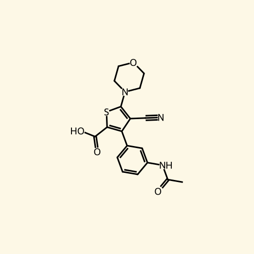 CC(=O)Nc1cccc(-c2c(C(=O)O)sc(N3CCOCC3)c2C#N)c1